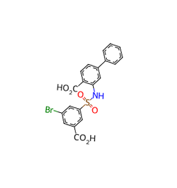 O=C(O)c1cc(Br)cc(S(=O)(=O)Nc2cc(-c3ccccc3)ccc2C(=O)O)c1